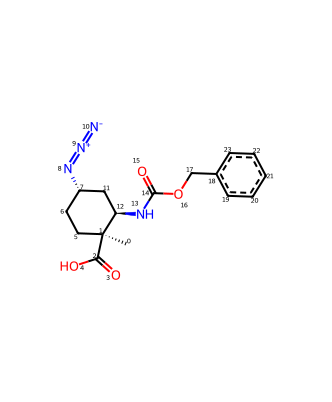 C[C@]1(C(=O)O)CC[C@H](N=[N+]=[N-])C[C@H]1NC(=O)OCc1ccccc1